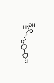 O=C(CCCCOc1ccc(-c2ccc(Cl)cc2)cc1)NO